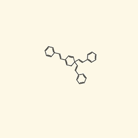 C(=Cc1ccccc1)C1=CCC(C=Cc2ccccc2)(C=Cc2ccccc2)C=C1